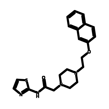 O=C(CN1CCN(CCOc2ccc3ccccc3c2)CC1)Nc1nccs1